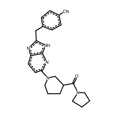 N#Cc1ccc(Cc2nc3ccc(N4CCCC(C(=O)N5CCCC5)C4)nc3[nH]2)cc1